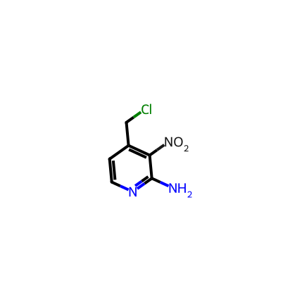 Nc1nccc(CCl)c1[N+](=O)[O-]